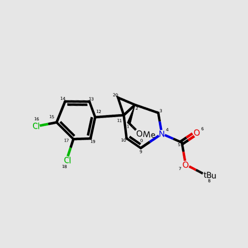 COC[C@@]12CN(C(=O)OC(C)(C)C)C=CC1(c1ccc(Cl)c(Cl)c1)C2